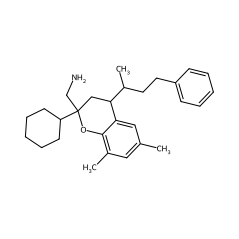 Cc1cc(C)c2c(c1)C(C(C)CCc1ccccc1)CC(CN)(C1CCCCC1)O2